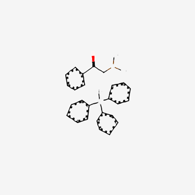 CC(C)(C)[S+](CC(=O)c1ccccc1)C(C)(C)C.CCC(C)[B-](c1ccccc1)(c1ccccc1)c1ccccc1